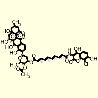 CC(=O)O[C@@H]1[C@@H](C)O[C@@H](c2ccc3c(c2O)[C@@H](O)[C@]24O[C@@]2(C3=O)[C@@]2(O)C(=O)C=C(C)C[C@@]2(O)C[C@@H]4O)C[C@H]1OC(=O)/C=C/C=C/C=C/C=C/C(=O)Nc1c(O)c2ccc(O)c(Cl)c2oc1=O